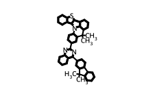 CC1(C)c2ccccc2-c2ccc(-c3nc(-c4ccc5c(c4)C(C)(C)c4cccc6c7sc8ccccc8c7n-5c46)nc4ccccc34)cc21